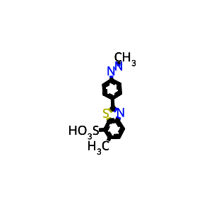 C/N=N/c1ccc(-c2nc3ccc(C)c(S(=O)(=O)O)c3s2)cc1